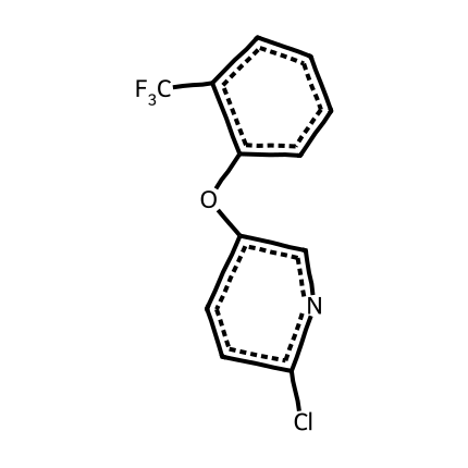 FC(F)(F)c1ccccc1Oc1ccc(Cl)nc1